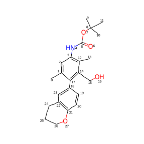 Cc1cc(NC(=O)OC(C)(C)C)c(C)c(CO)c1-c1ccc2c(c1)CCCO2